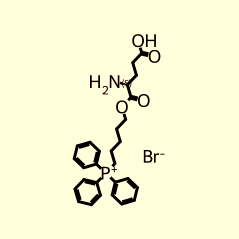 N[C@@H](CCC(=O)O)C(=O)OCCCCC[P+](c1ccccc1)(c1ccccc1)c1ccccc1.[Br-]